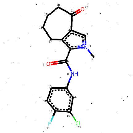 Cn1cc2c(c1C(=O)Nc1ccc(F)c(Cl)c1)CCCCC2=O